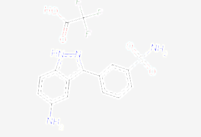 Nc1ccc2[nH]nc(-c3cccc(S(N)(=O)=O)c3)c2c1.O=C(O)C(F)(F)F